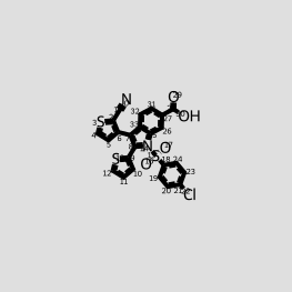 N#Cc1sccc1-c1c(-c2cccs2)n(S(=O)(=O)c2ccc(Cl)cc2)c2cc(C(=O)O)ccc12